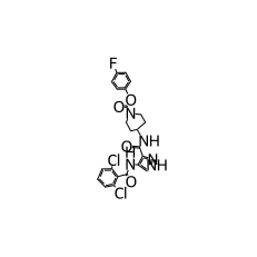 O=C(NC1CCN(C(=O)Oc2ccc(F)cc2)CC1)c1n[nH]cc1NC(=O)c1c(Cl)cccc1Cl